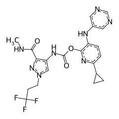 CNC(=O)c1nn(CCC(F)(F)F)cc1NC(=O)Oc1nc(C2CC2)ccc1Nc1cncnc1